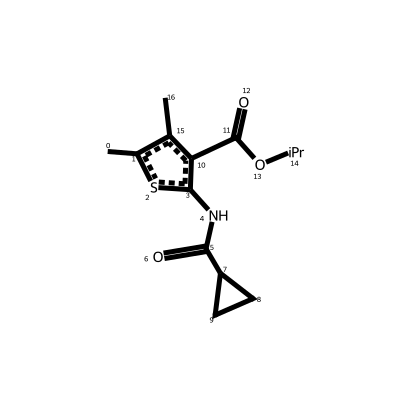 Cc1sc(NC(=O)C2CC2)c(C(=O)OC(C)C)c1C